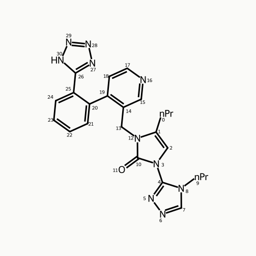 CCCc1cn(-c2nncn2CCC)c(=O)n1Cc1cnccc1-c1ccccc1-c1nnn[nH]1